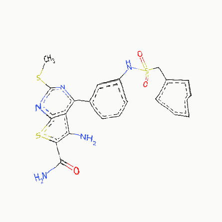 CSc1nc(-c2cccc(NS(=O)(=O)Cc3ccccc3)c2)c2c(N)c(C(N)=O)sc2n1